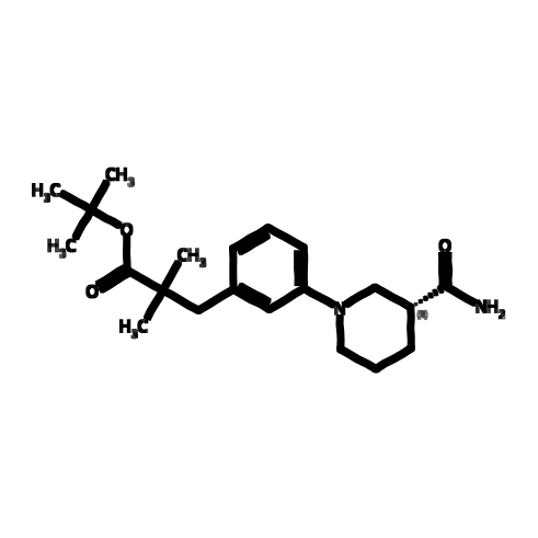 CC(C)(C)OC(=O)C(C)(C)Cc1cccc(N2CCC[C@@H](C(N)=O)C2)c1